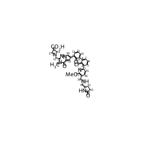 COc1nc(-c2cccc(-c3cccc(-c4cc5c(=O)n(C)c(CN6CC(C(=O)O)C6)nn5c4)c3Cl)c2Cl)ccc1CNCC1CCC(=O)N1